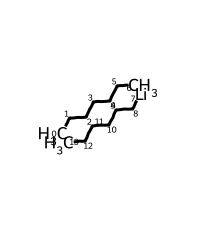 CCCCCCC.[Li][CH2]CCCCC